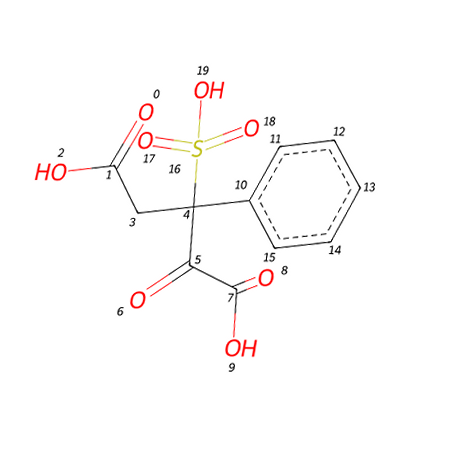 O=C(O)CC(C(=O)C(=O)O)(c1ccccc1)S(=O)(=O)O